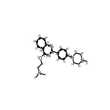 CN(C)CCOc1nc(-c2ccc(N3CCN(C)CC3)cc2)nc2ccccc12